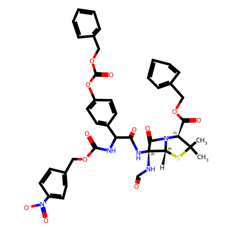 CC1(C)S[C@H]2N(C(=O)[C@@]2(NC=O)NC(=O)C(NC(=O)OCc2ccc([N+](=O)[O-])cc2)c2ccc(OC(=O)OCc3ccccc3)cc2)[C@H]1C(=O)OCc1ccccc1